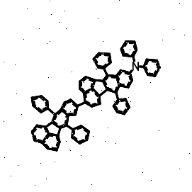 c1ccc(-c2c3c(c(-c4ccccc4)c4cc(-c5ccc6c7c(cccc57)-c5c-6c(-c6ccccc6)c6ccc(N(c7ccccc7)c7ccccc7)cc6c5-c5ccccc5)ccc24)-c2cccc4cccc-3c24)cc1